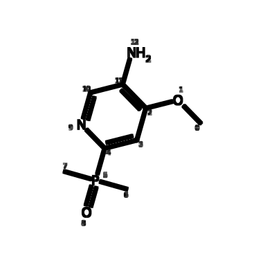 COc1cc(P(C)(C)=O)ncc1N